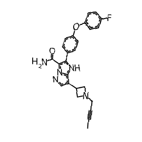 CC#CCN1CC(c2cnn3c(C(N)=O)c(-c4ccc(Oc5ccc(F)cc5)cc4)[nH]c23)C1